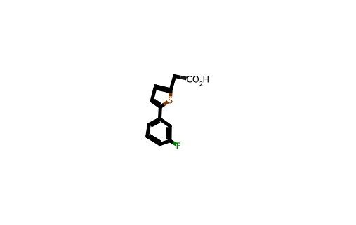 O=C(O)Cc1ccc(-c2cccc(F)c2)s1